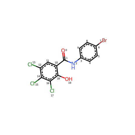 O=C(Nc1ccc(Br)cc1)c1cc(Cl)c(Cl)c(Cl)c1O